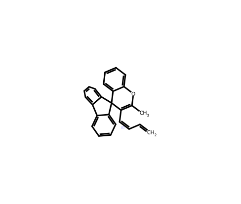 C=C/C=C\C1=C(C)Oc2ccccc2C12c1ccccc1-c1ccccc12